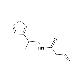 C=CCC(=O)NCC(C)C1=CCC=C1